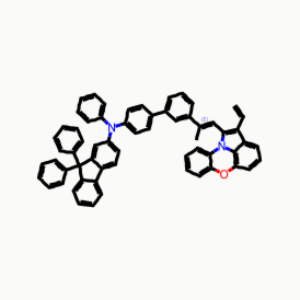 C=Cc1c(/C=C(\C)c2cccc(-c3ccc(N(c4ccccc4)c4ccc5c(c4)C(c4ccccc4)(c4ccccc4)c4ccccc4-5)cc3)c2)n2c3c(cccc13)Oc1ccccc1-2